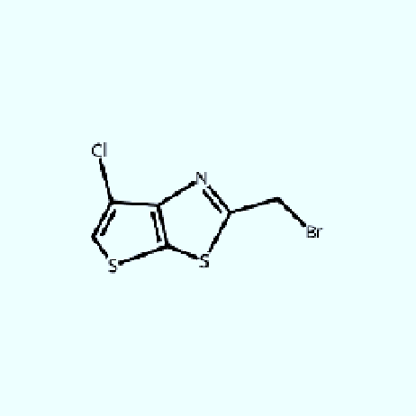 Clc1csc2sc(CBr)nc12